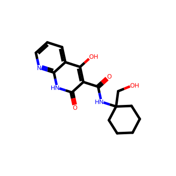 O=C(NC1(CO)CCCCC1)c1c(O)c2cccnc2[nH]c1=O